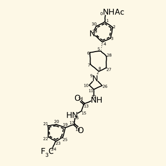 CC(=O)Nc1ccc([C@H]2CC[C@@H](N3CC(NC(=O)CNC(=O)c4cccc(C(F)(F)F)c4)C3)CC2)nc1